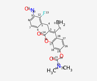 BCc1c(Cc2cccc(N=O)c2F)c(=O)oc2cc(OC(=O)N(C)C)ccc12